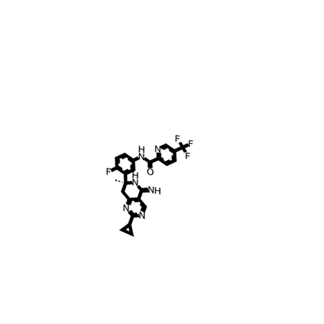 C[C@@]1(c2cc(NC(=O)c3ccc(C(F)(F)F)cn3)ccc2F)Cc2nc(C3CC3)ncc2C(=N)N1